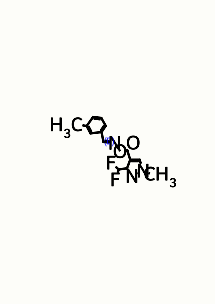 Cc1cccc(/C=N/OC(=O)c2cn(C)nc2C(F)F)c1